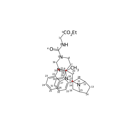 CCOC(=O)CNC(=O)N1CCC(CCN2C3CCC2CC(n2c(C)nc4ccccc42)C3)(c2ccccc2)CC1